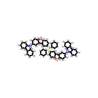 c1ccc(S(c2ccccc2)(c2ccc3oc4ccc(-n5c6ccccc6c6ccccc65)cc4c3c2)c2ccc3oc4ccc(-n5c6ccccc6c6ccccc65)cc4c3c2)cc1